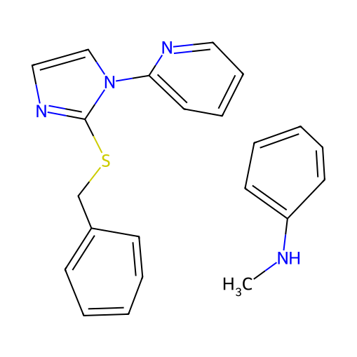 CNc1ccccc1.c1ccc(CSc2nccn2-c2ccccn2)cc1